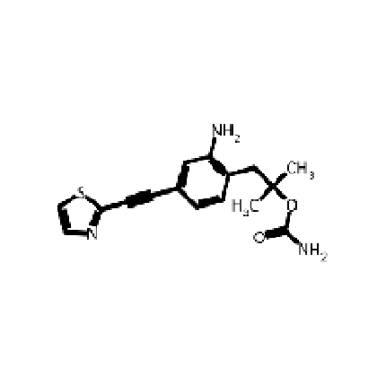 CC(C)(Cc1ccc(C#Cc2nccs2)cc1N)OC(N)=O